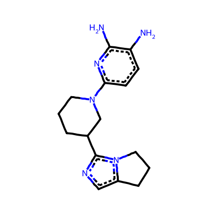 Nc1ccc(N2CCCC(c3ncc4n3CCC4)C2)nc1N